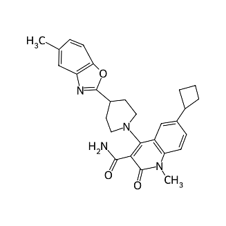 Cc1ccc2oc(C3CCN(c4c(C(N)=O)c(=O)n(C)c5ccc(C6CCC6)cc45)CC3)nc2c1